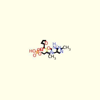 C/C(=C(\CCOP(=O)(O)O)SC(=O)c1ccco1)N(C=O)Cc1cnc(C)nc1N